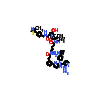 Cc1ncsc1-c1ccc(CNC(=O)[C@@H]2C[C@@H](O)CN2C(=O)C(NC(=O)CCCCNC(=O)CCc2cccc(-c3ccc4nc(-c5cccnc5N)n(-c5ccc(C6(N)CCC6)cc5)c4n3)c2)C(C)(C)C)cc1